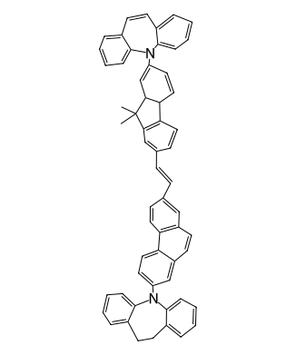 CC1(C)c2cc(/C=C/c3ccc4c(ccc5cc(N6c7ccccc7CCc7ccccc76)ccc54)c3)ccc2C2C=CC(N3c4ccccc4C=Cc4ccccc43)=CC21